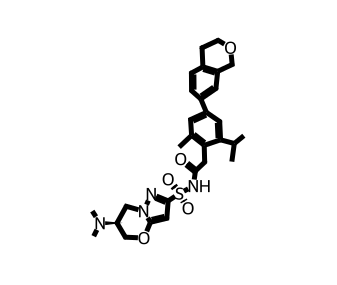 Cc1cc(-c2ccc3c(c2)COCC3)cc(C(C)C)c1CC(=O)NS(=O)(=O)c1cc2n(n1)C[C@H](N(C)C)CO2